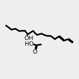 C=C/C=C/CCCCCCC(O)CCCCC.CC(=O)O